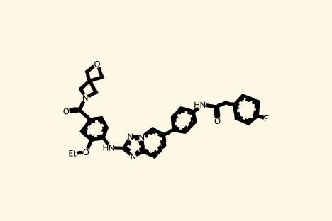 CCOc1cc(C(=O)N2CC3(COC3)C2)ccc1Nc1nc2ccc(-c3ccc(NC(=O)Cc4ccc(F)cc4)cc3)cn2n1